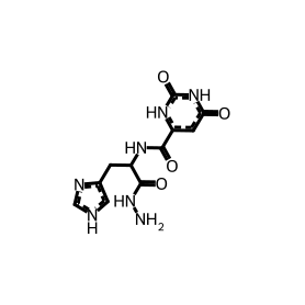 NNC(=O)C(Cc1c[nH]cn1)NC(=O)c1cc(=O)[nH]c(=O)[nH]1